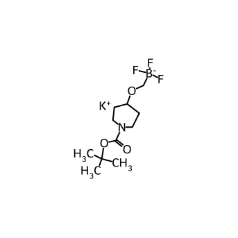 CC(C)(C)OC(=O)N1CCC(OC[B-](F)(F)F)CC1.[K+]